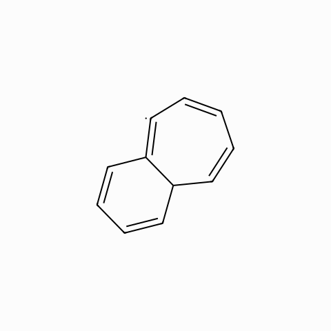 [C]1=C2C=CC=CC2C=CC=C1